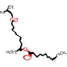 CCCCCCCC/C=C\CCCCCCCC(=O)OCC(CCCCCCCC)CCCCCCCCC(=O)OCC(CC)CCCC